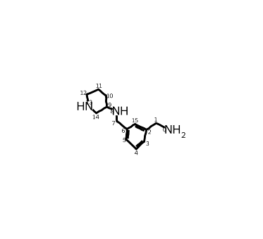 NCc1cccc(CNC2CCCNC2)c1